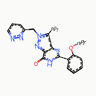 CCCOc1ccccc1-c1nc2c(CCC)n(Cc3cccnn3)nc2c(=O)[nH]1